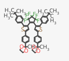 CC(C)(C)c1ccc(-c2sc(-c3ccc(C4(C)OCCO4)cc3)cc2C2=C(c3cc(-c4ccc(C5(C)OCCO5)cc4)sc3-c3ccc(C(C)(C)C)cc3)C(F)(F)C(F)(F)C2(F)F)cc1